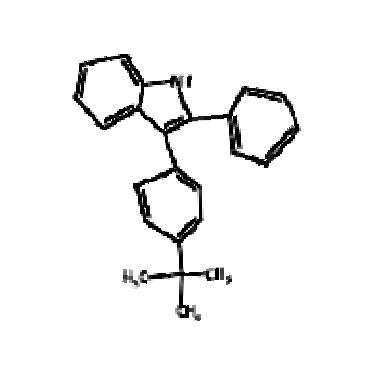 CC(C)(C)c1ccc(-c2c(-c3ccccc3)[nH]c3ccccc23)cc1